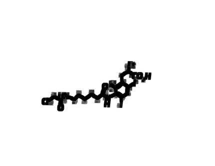 CCC(Cc1c(I)cc(I)c(NC(=O)CCCCCNC(=O)CCl)c1I)C(=O)O